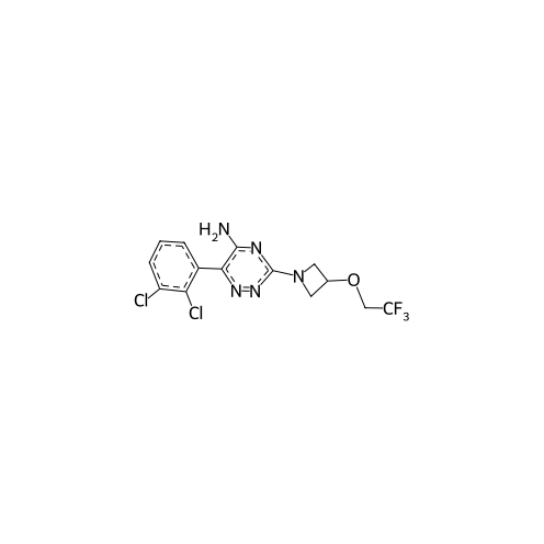 Nc1nc(N2CC(OCC(F)(F)F)C2)nnc1-c1cccc(Cl)c1Cl